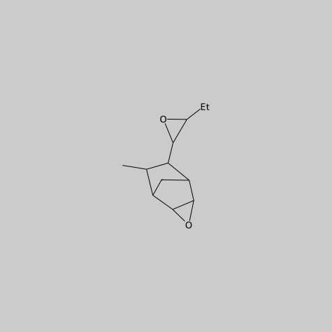 CCC1OC1C1C(C)C2CC1C1OC21